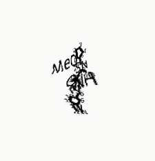 COc1ccccc1-c1nc(C)c(C(=O)N/N=C/c2ccc3ccn(C)c3c2)s1